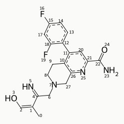 C/C(=C/O)C(=N)CN1CCc2c(-c3ccc(F)cc3F)cc(C(N)=O)nc2C1